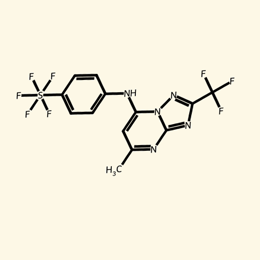 Cc1cc(Nc2ccc(S(F)(F)(F)(F)F)cc2)n2nc(C(F)(F)F)nc2n1